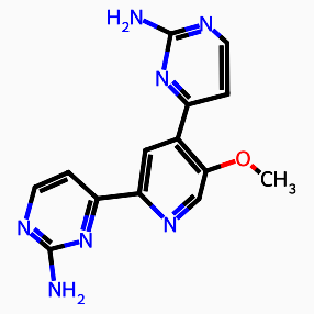 COc1cnc(-c2ccnc(N)n2)cc1-c1ccnc(N)n1